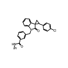 CC(C)NC(=O)c1cccc(CN2C(=O)C3(CC3c3ccc(Cl)cc3)c3ccccc32)c1